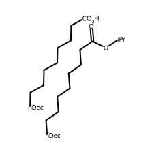 CCCCCCCCCCCCCCCCCC(=O)O.CCCCCCCCCCCCCCCCCC(=O)OC(C)C